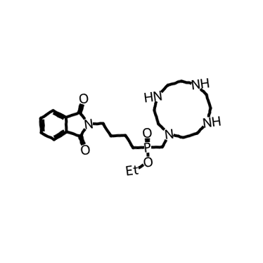 CCOP(=O)(CCCCN1C(=O)c2ccccc2C1=O)CN1CCNCCNCCNCC1